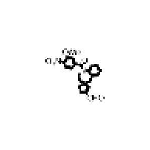 COc1cc(C(=O)N2CCC3(C=C(C=O)CC3)Cc3ccccc32)ccc1[N+](=O)[O-]